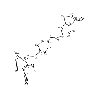 COc1c(C#N)ccc(F)c1CCN1CCN(CCc2ccc3c(c2)COC3=O)CC1